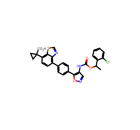 CC(OC(=O)Nc1cnoc1-c1ccc(-c2ccc(C3(C(=O)O)CC3)c3scnc23)cc1)c1ccccc1Cl